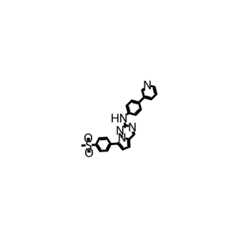 CS(=O)(=O)c1ccc(-c2ccc3cnc(Nc4ccc(-c5cccnc5)cc4)nn23)cc1